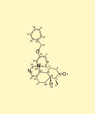 C[C@@H]1C(=O)CC[C@]2(c3ccc(OCc4ccccc4)cc3)c3ncncc3CC[C@@H]12